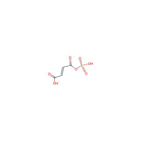 O=C(O)C=CC(=O)OS(=O)(=O)O